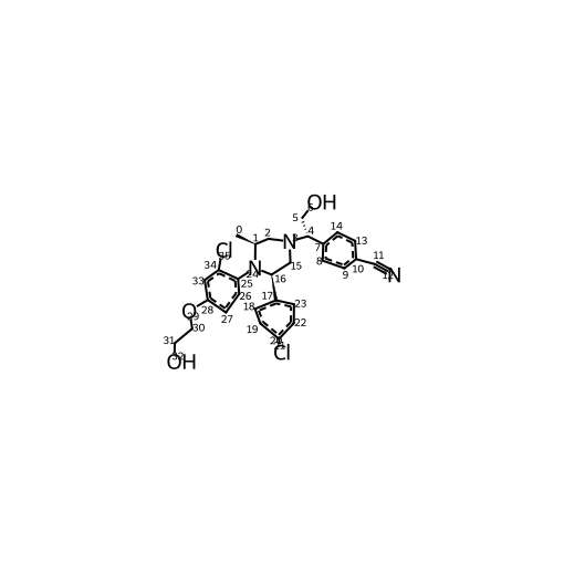 C[C@H]1CN([C@H](CO)c2ccc(C#N)cc2)C[C@@H](c2ccc(Cl)cc2)N1c1ccc(OCCO)cc1Cl